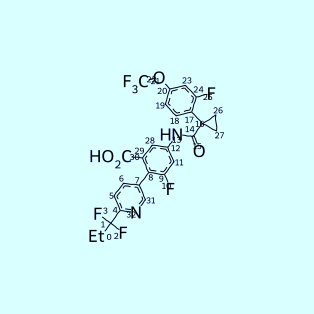 CCC(F)(F)c1ccc(-c2c(F)cc(NC(=O)C3(c4ccc(OC(F)(F)F)cc4F)CC3)cc2C(=O)O)cn1